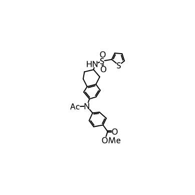 COC(=O)c1ccc(N(C(C)=O)c2ccc3c(c2)CCC(NS(=O)(=O)c2cccs2)C3)cc1